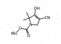 CC(C)(C)OC(=O)N1CC(C#N)=C(O)C1(C)C